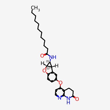 CCCCCCCCCCCC(=O)N[C@@H]1[C@H]2Oc3ccc(Oc4ccnc5c4CCC(=O)N5)cc3[C@@H]12